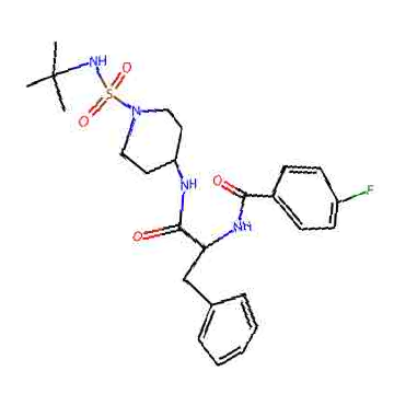 CC(C)(C)NS(=O)(=O)N1CCC(NC(=O)C(Cc2ccccc2)NC(=O)c2ccc(F)cc2)CC1